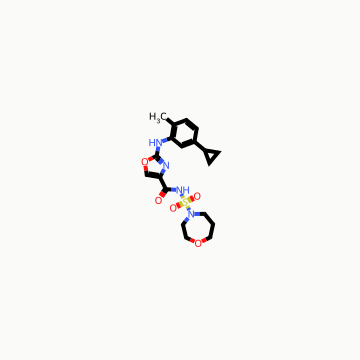 Cc1ccc(C2CC2)cc1Nc1nc(C(=O)NS(=O)(=O)N2CCCOCC2)co1